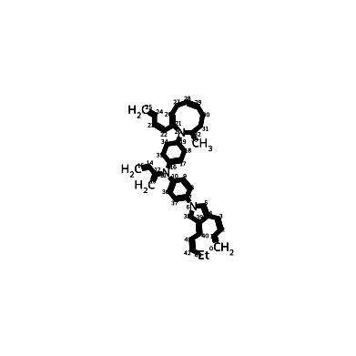 C=C/C=C\C1=CN(c2ccc(N(C(=C)C=C)C3=CCC(N4C(/C=C\C=C)=C\C/C=C\CCC4C)CC3)cc2)C/C1=C\C=C/CC